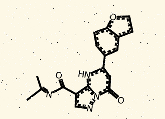 CC(C)=NC(=O)c1cnn2c(=O)cc(-c3ccc4occc4c3)[nH]c12